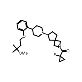 COC(C)(C)CCOc1ccccc1C1CCN([C@H]2CCC3(C2)CN(C(=O)C2(F)CC2)C3)CC1